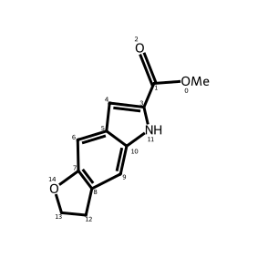 COC(=O)c1cc2cc3c(cc2[nH]1)CCO3